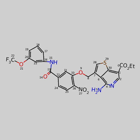 CCOC(=O)c1cnc(N)c2c(COc3cc(C(=O)Nc4cccc(OC(F)(F)F)c4)ccc3[N+](=O)[O-])csc12